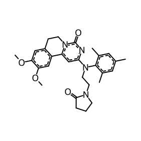 COc1cc2c(cc1OC)-c1cc(N(CCN3CCCC3=O)c3c(C)cc(C)cc3C)nc(=O)n1CC2